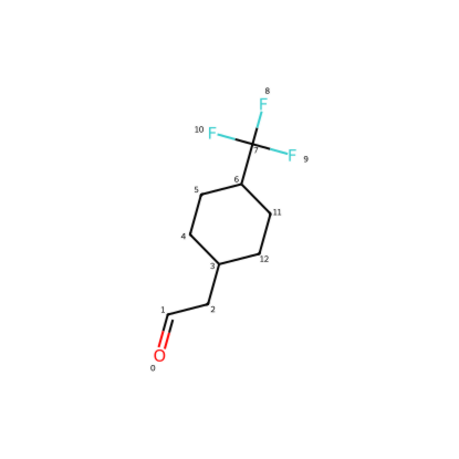 O=CCC1CCC(C(F)(F)F)CC1